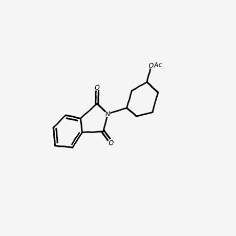 CC(=O)OC1CCCC(N2C(=O)c3ccccc3C2=O)C1